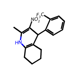 CC1=C([N+](=O)[O-])C(c2ccccc2C(F)(F)F)C2=C(CCCC2)N1